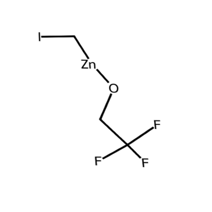 FC(F)(F)C[O][Zn][CH2]I